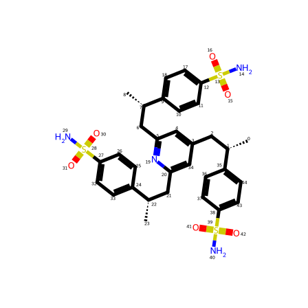 C[C@@H](Cc1cc(C[C@H](C)c2ccc(S(N)(=O)=O)cc2)nc(C[C@H](C)c2ccc(S(N)(=O)=O)cc2)c1)c1ccc(S(N)(=O)=O)cc1